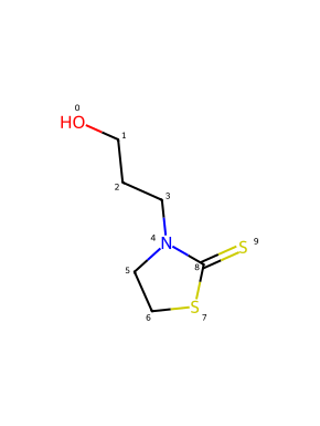 OCCCN1CCSC1=S